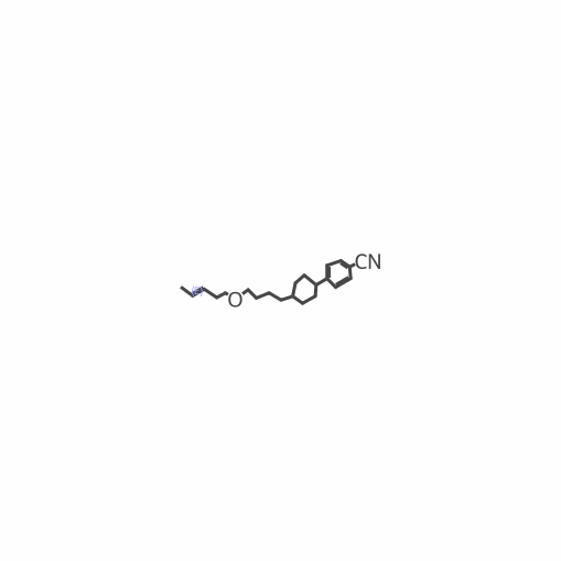 C/C=C/CCOCCCCC1CCC(c2ccc(C#N)cc2)CC1